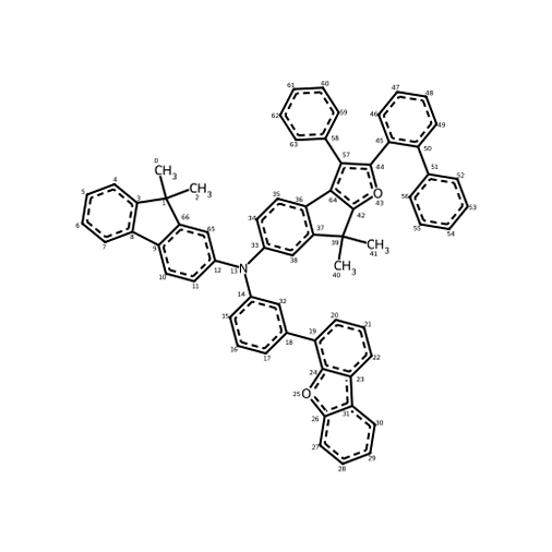 CC1(C)c2ccccc2-c2ccc(N(c3cccc(-c4cccc5c4oc4ccccc45)c3)c3ccc4c(c3)C(C)(C)c3oc(-c5ccccc5-c5ccccc5)c(-c5ccccc5)c3-4)cc21